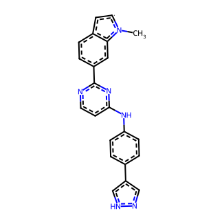 Cn1[c]cc2ccc(-c3nccc(Nc4ccc(-c5cn[nH]c5)cc4)n3)cc21